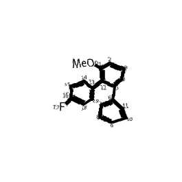 COc1[c]ccc(-c2ccccc2)c1-c1ccc(F)cc1